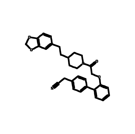 N#CCc1ccc(-c2ccccc2OCC(=O)N2CCC(CCc3ccc4c(c3)OCO4)CC2)cc1